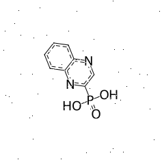 O=P(O)(O)c1cnc2ccccc2n1